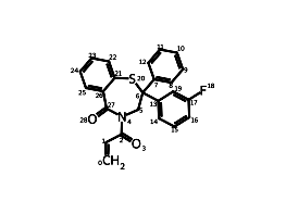 C=CC(=O)N1CC(c2ccccc2)(c2cccc(F)c2)Sc2ccccc2C1=O